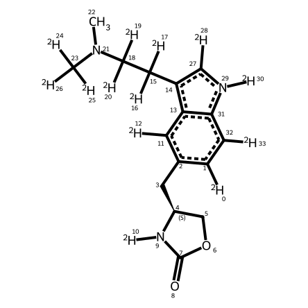 [2H]c1c(C[C@H]2COC(=O)N2[2H])c([2H])c2c(C([2H])([2H])C([2H])([2H])N(C)C([2H])([2H])[2H])c([2H])n([2H])c2c1[2H]